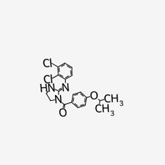 CC(C)Oc1ccc(C(=O)N2CCNC2=Nc2cccc(Cl)c2Cl)cc1